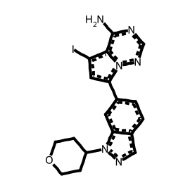 Nc1ncnn2c(-c3ccc4cnn(C5CCOCC5)c4c3)cc(I)c12